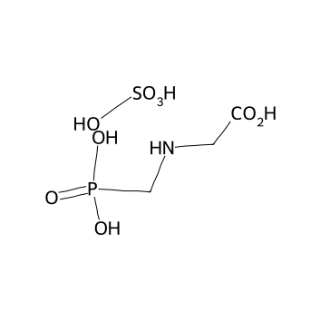 O=C(O)CNCP(=O)(O)O.O=S(=O)(O)O